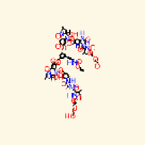 C=CCOC(=O)NCC#Cc1cc(COc2cc3c(cc2OC)C(=O)N2CC(=C)C[C@H]2[C@H](O)N3C(=O)OCc2ccc(NC(=O)[C@H](C)NCC(=O)[C@@H](NC(=O)OCCOCCO)C(C)C)cc2)cc(COc2cc3c(cc2OC)C(=O)N2CC(=C)C[C@H]2[C@H](O)N3C(=O)OCc2ccc(NC(=O)[C@H](C)NC(=O)[C@@H](NC(=O)OCCOCCOC)C(C)C)cc2)c1